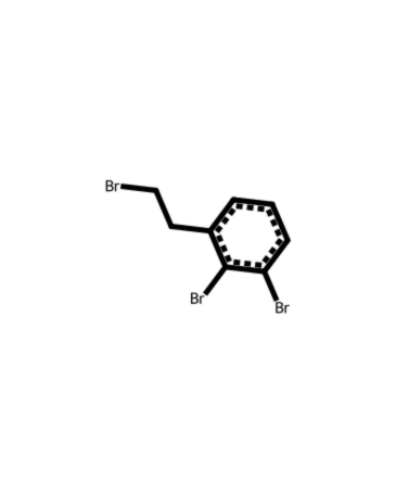 BrCCc1cccc(Br)c1Br